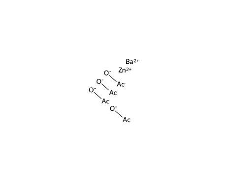 CC(=O)[O-].CC(=O)[O-].CC(=O)[O-].CC(=O)[O-].[Ba+2].[Zn+2]